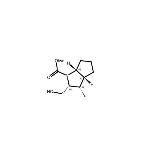 COC(=O)N1[C@@H]2CCC[C@@H]2[C@H](C)[C@@H]1CO